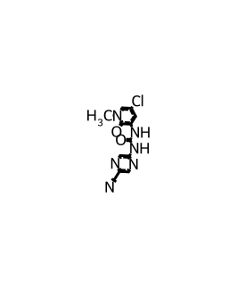 Cn1cc(Cl)cc(NC(=O)Nc2cnc(C#N)cn2)c1=O